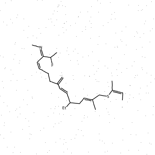 C=C(C=CC(CC)C/C=C(\C)CS/C(C)=C\C)CC/C=C\C(=N/C)C(C)F